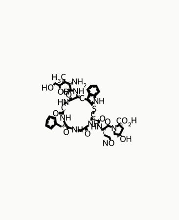 C[C@@H](C(O)CO)[C@H](N)C(=O)N[C@H]1Cc2c([nH]c3ccccc23)SC[C@@H](C(=O)N[C@@H](CCN=O)C(=O)N2C[C@H](O)C[C@H]2C(=O)O)NC(=O)CNC(=O)[C@H](Cc2ccccc2)NC(=O)CNC1=O